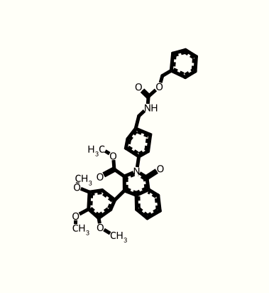 COC(=O)c1c(-c2cc(OC)c(OC)c(OC)c2)c2ccccc2c(=O)n1-c1ccc(CNC(=O)OCc2ccccc2)cc1